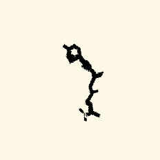 C/C(=C/C=C(C)/C=C(\C)C#Cc1ccc(C)cc1)N(C)C